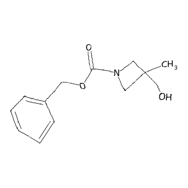 CC1(O)CN(C(=O)OCc2ccccc2)C1